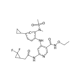 CCONC(=O)c1cnc(NC(=O)CC2CC2(F)F)cc1Nc1ccc(C2CC2)cc1N(C)S(C)(=O)=O